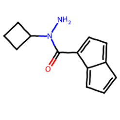 NN(C(=O)C1=CC=C2C=CC=C21)C1CCC1